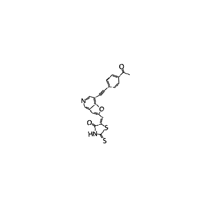 CC(=O)c1ccc(C#Cc2cncc3cc(/C=C4/SC(=S)NC4=O)oc23)cc1